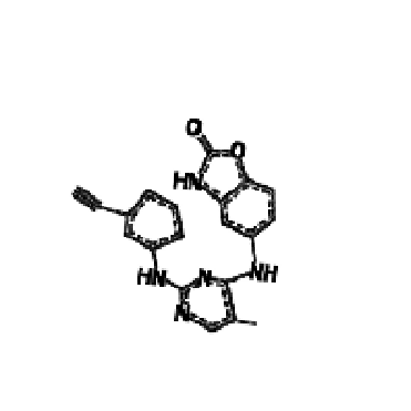 C#Cc1cccc(Nc2ncc(C)c(Nc3ccc4oc(=O)[nH]c4c3)n2)c1